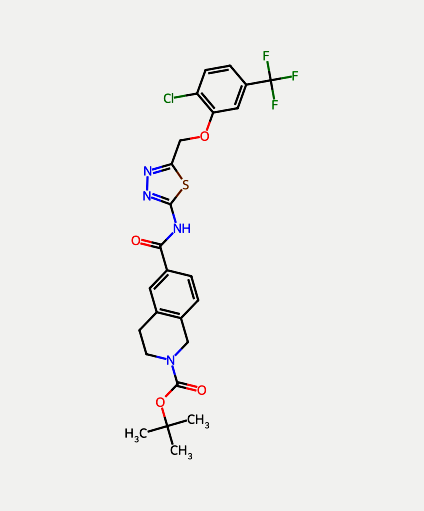 CC(C)(C)OC(=O)N1CCc2cc(C(=O)Nc3nnc(COc4cc(C(F)(F)F)ccc4Cl)s3)ccc2C1